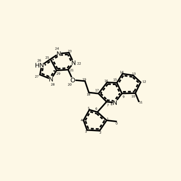 Cc1ccccc1-c1nc2c(C)cccc2cc1CCOc1ncnc2[nH]cnc12